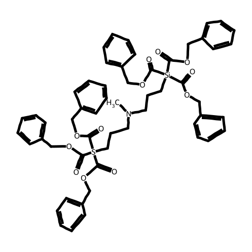 CN(CCC[Si](C(=O)OCc1ccccc1)(C(=O)OCc1ccccc1)C(=O)OCc1ccccc1)CCCS(C(=O)OCc1ccccc1)(C(=O)OCc1ccccc1)C(=O)OCc1ccccc1